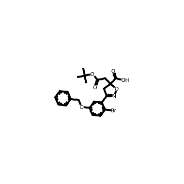 CC(C)(C)OC(=O)CC1(C(=O)O)CC(c2cc(OCc3ccccc3)ccc2Br)=NO1